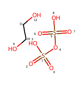 O=S(=O)(O)OS(=O)(=O)O.OCCO